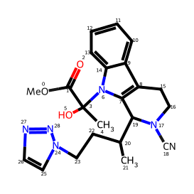 COC(=O)C(C)(O)n1c2c(c3ccccc31)CCN(C#N)C2C(C)CCn1ccnn1